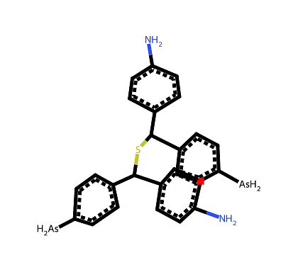 Nc1ccc(C(SC(c2ccc(N)cc2)c2ccc([AsH2])cc2)c2ccc([AsH2])cc2)cc1